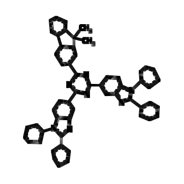 CC1(C)c2ccccc2-c2ccc(-c3nc(-c4ccc5c(c4)nc(-c4ccccc4)n5-c4ccccc4)nc(-c4ccc5c(c4)nc(-c4ccccc4)n5-c4ccccc4)n3)cc21